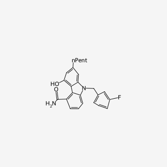 CCCCCc1cc(O)c2c3c(C(N)=O)cccc3n(Cc3cccc(F)c3)c2c1